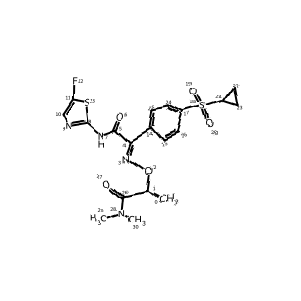 C[C@H](O/N=C(/C(=O)Nc1ncc(F)s1)c1ccc(S(=O)(=O)C2CC2)cc1)C(=O)N(C)C